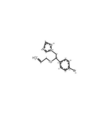 C=CCOC(Cn1cncn1)c1ccc(Br)cc1